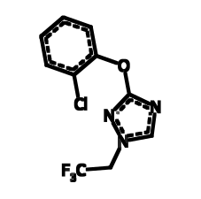 FC(F)(F)Cn1cnc(Oc2ccccc2Cl)n1